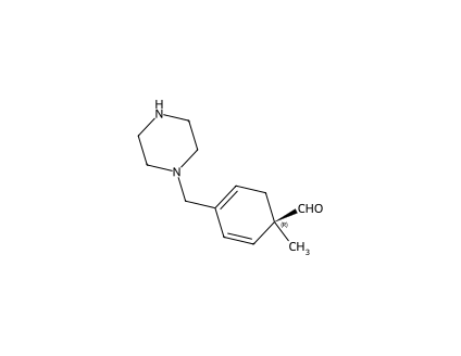 C[C@]1(C=O)C=CC(CN2CCNCC2)=CC1